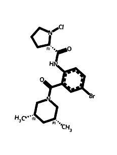 C[C@@H]1C[C@H](C)CN(C(=O)c2cc(Br)ccc2NC(=O)[C@@H]2CCCN2Cl)C1